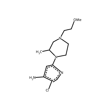 COCCN1CCN(c2cc(N)c(Cl)cn2)C(C)C1